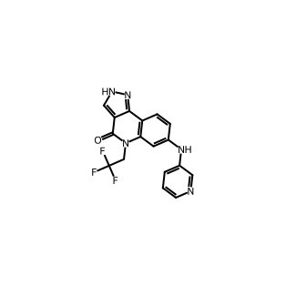 O=c1c2c[nH]nc2c2ccc(Nc3cccnc3)cc2n1CC(F)(F)F